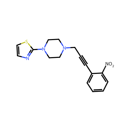 O=[N+]([O-])c1ccccc1C#CCN1CCN(c2nccs2)CC1